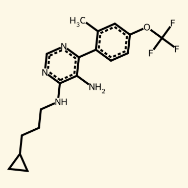 Cc1cc(OC(F)(F)F)ccc1-c1ncnc(NCCCC2CC2)c1N